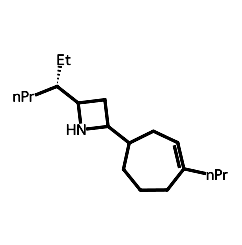 CCCC1=CCC(C2CC([C@@H](CC)CCC)N2)CCC1